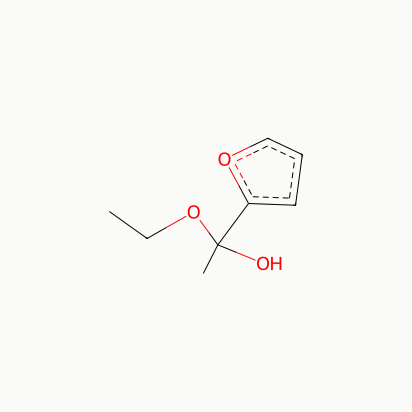 CCOC(C)(O)c1ccco1